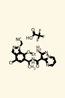 CCOc1c(C(C)NC(=O)c2c(N)nn3cccnc23)cc(Cl)c2cnn(CC#N)c12.O=C(O)C(F)(F)F